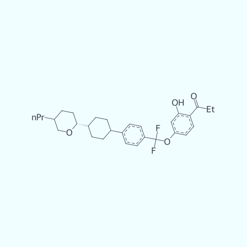 CCCC1CC[C@H](C2CCC(c3ccc(C(F)(F)Oc4ccc(C(=O)CC)c(O)c4)cc3)CC2)OC1